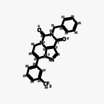 O=c1c2cnn3c2n(c(=O)n1Cc1ccccc1)CC=C3c1cccc(C(F)(F)F)c1